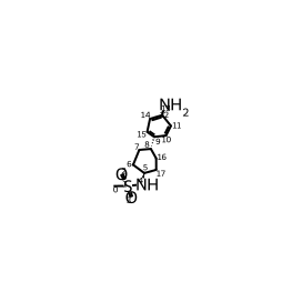 CS(=O)(=O)N[C@H]1CC[C@H](c2ccc(N)cc2)CC1